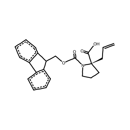 C=CC[C@@]1(C(=O)O)CCCN1C(=O)OCC1c2ccccc2-c2ccccc21